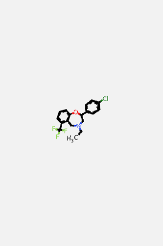 CCN1Cc2c(cccc2C(F)(F)F)OC(c2ccc(Cl)cc2)C1